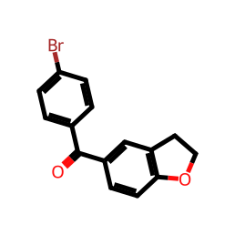 O=C(c1ccc(Br)cc1)c1ccc2c(c1)CCO2